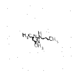 C/C=C/CNc1nc(C)cc(C)n1